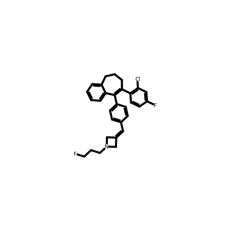 FCCCN1CC(=Cc2ccc(C3=C(c4ccc(F)cc4Cl)CCCc4ccccc43)cc2)C1